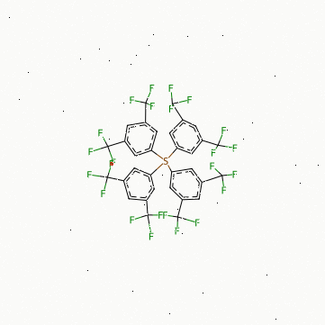 FC(F)(F)c1cc(C(F)(F)F)cc(S(c2cc(C(F)(F)F)cc(C(F)(F)F)c2)(c2cc(C(F)(F)F)cc(C(F)(F)F)c2)c2cc(C(F)(F)F)cc(C(F)(F)F)c2)c1